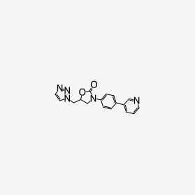 O=C1OC(Cn2ccnn2)CN1c1ccc(-c2cccnc2)cc1